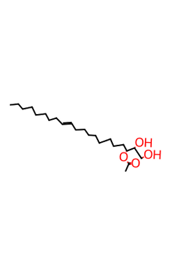 CCCCCCCCC=CCCCCCCCCC(OC(C)=O)C(O)CO